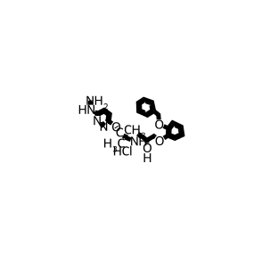 CC(C)(COc1ccc(NN)nn1)NCC(O)COc1ccccc1OCc1ccccc1.Cl